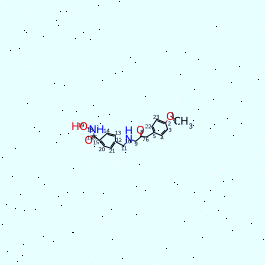 COc1ccc(CC(=O)CNCc2ccc(C(=O)NO)cc2)cc1